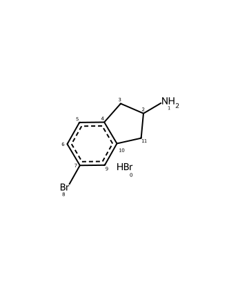 Br.NC1Cc2ccc(Br)cc2C1